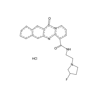 Cl.O=C(NCCN1CCC(F)C1)c1cccn2c(=O)c3cc4ccccc4cc3nc12